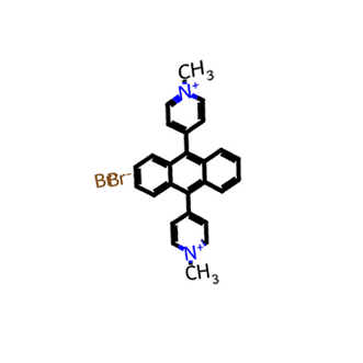 C[n+]1ccc(-c2c3ccccc3c(-c3cc[n+](C)cc3)c3ccccc23)cc1.[Br-].[Br-]